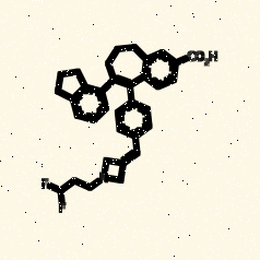 O=C(O)c1ccc2c(c1)CCCC(c1cccc3c1CCC3)=C2c1ccc(C=C2CN(CCC(F)F)C2)cc1